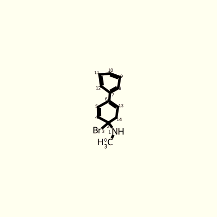 CNC1(Br)C=CC(c2ccccc2)=CC1